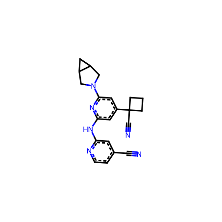 N#Cc1ccnc(Nc2cc(C3(C#N)CCC3)cc(N3CC4CC4C3)n2)c1